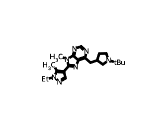 CCn1ncc(-c2nc3c(CC4CCN(C(C)(C)C)C4)ncnc3n2C)c1C